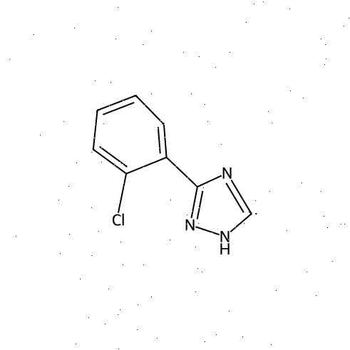 Clc1ccccc1-c1n[c][nH]n1